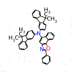 CC1(C)c2ccccc2-c2cc(N(c3ccc4c(c3)-c3ccccc3C4(C)C)c3cc4nc(-c5ccccc5)oc4c4ccccc34)ccc21